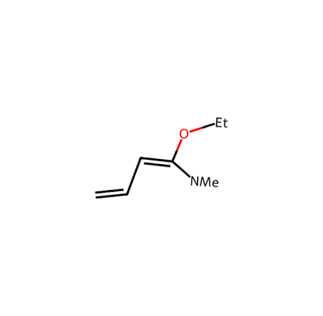 C=C/C=C(\NC)OCC